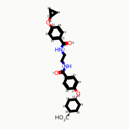 O=C(NCCNC(=O)c1ccc(O[C@H]2CC[C@@H](C(=O)O)CC2)cc1)c1ccc(OC2CC2)cc1